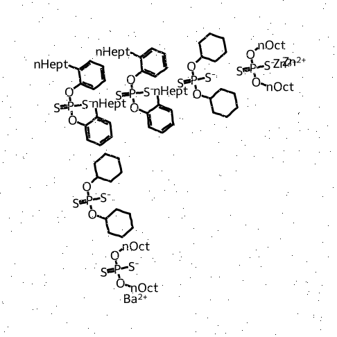 CCCCCCCCOP(=S)([S-])OCCCCCCCC.CCCCCCCCOP(=S)([S-])OCCCCCCCC.CCCCCCCc1ccccc1OP(=S)([S-])Oc1ccccc1CCCCCCC.CCCCCCCc1ccccc1OP(=S)([S-])Oc1ccccc1CCCCCCC.S=P([S-])(OC1CCCCC1)OC1CCCCC1.S=P([S-])(OC1CCCCC1)OC1CCCCC1.[Ba+2].[Zn+2].[Zn+2]